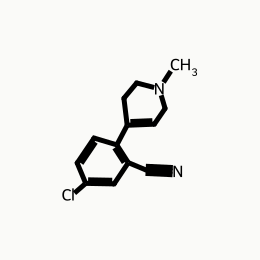 CN1CC=C(c2ccc(Cl)cc2C#N)CC1